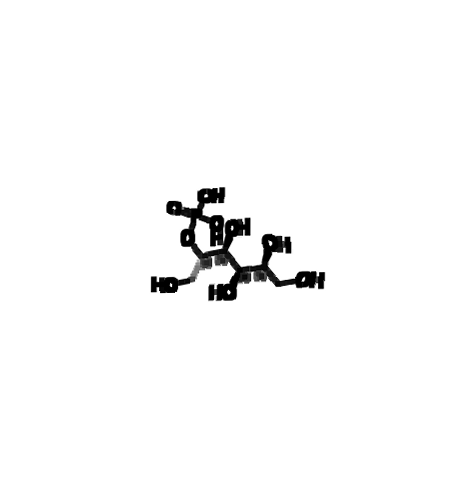 O=P(O)(O)O[C@@H](CO)[C@@H](O)[C@H](O)[C@@H](O)CO